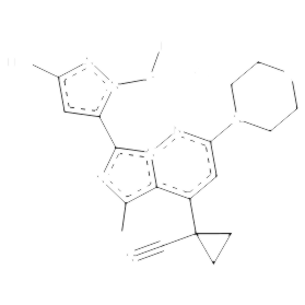 Cc1cc(-c2nc(I)c3c(C4(C#N)CC4)cc(N4CCOC[C@H]4C)nn23)n(PI)n1